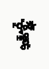 COc1cc(NC(=O)[C@@H]2C[C@@]2(COc2cnc(C)nc2C)C2C=C(F)C=C(F)C2)ncc1F